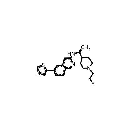 C=C(Nc1cc2cc(-c3cncs3)ccc2cn1)C1CCN(CCF)CC1